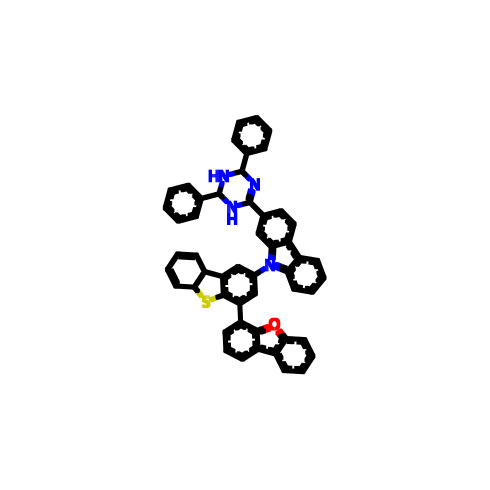 C1=CC2Sc3c(-c4cccc5c4oc4ccccc45)cc(-n4c5ccccc5c5ccc(C6=NC(c7ccccc7)NC(c7ccccc7)N6)cc54)cc3C2C=C1